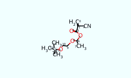 C=C(C#N)C(=O)OC(C)OCCO[Si](C)(C)C